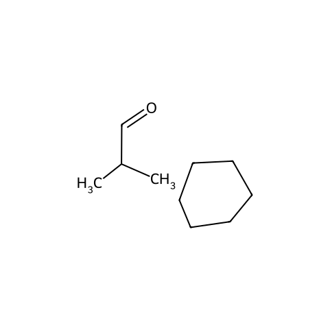 C1CCCCC1.CC(C)C=O